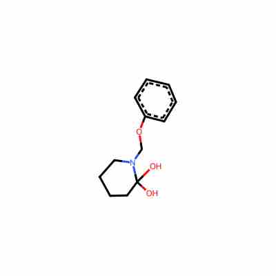 OC1(O)CCCCN1COc1ccccc1